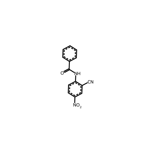 N#Cc1cc([N+](=O)[O-])ccc1NC(=O)c1ccccc1